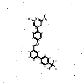 COC(=O)C[C@H](C=NO)c1ccc(OCc2cccc(-c3ccc(C(F)(F)F)cc3)c2)cc1